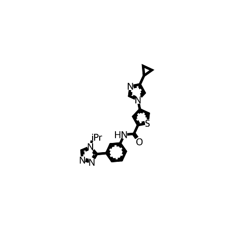 CC(C)n1cnnc1-c1cccc(NC(=O)c2cc(-n3cnc(C4CC4)c3)cs2)c1